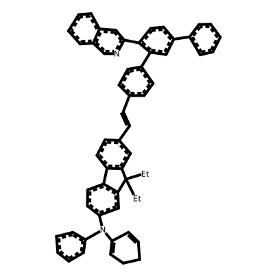 CCC1(CC)c2cc(/C=C/c3ccc(-c4cc(-c5ccccc5)ccc4-c4cc5ccccc5cn4)cc3)ccc2-c2ccc(N(C3=CCCC=C3)c3ccccc3)cc21